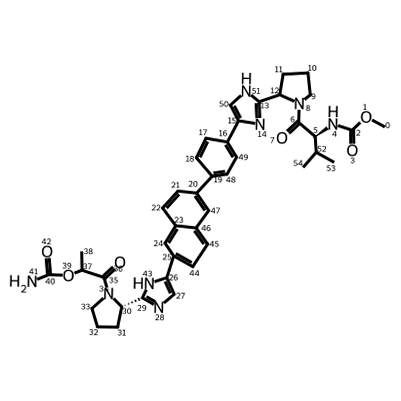 COC(=O)N[C@H](C(=O)N1CCCC1c1nc(-c2ccc(-c3ccc4cc(-c5cnc([C@@H]6CCCN6C(=O)C(C)OC(N)=O)[nH]5)ccc4c3)cc2)c[nH]1)C(C)C